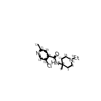 CCN1CCC(C)(NC(=O)c2cc(C)ncc2Cl)CC1